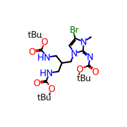 Cn1c(Br)cn(CC(CNC(=O)OC(C)(C)C)CNC(=O)OC(C)(C)C)c1=NC(=O)OC(C)(C)C